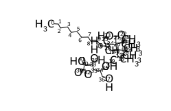 CCCCCCCCCCCCCC(C(C)C)(C(C)C)C(C(=O)O)(C(C)C)C(C)C.O=C1O[C@@H]([C@H](O)CO)C(O)=C1O